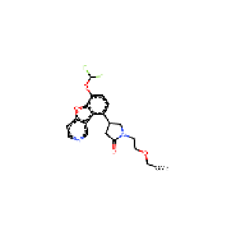 COCOCCN1CC(c2ccc(OC(F)F)c3oc4ccncc4c23)CC1=O